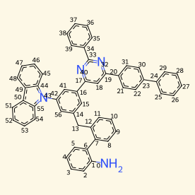 Nc1ccccc1-c1ccccc1Cc1cc(-c2cc(-c3ccc(-c4ccccc4)cc3)nc(-c3ccccc3)n2)cc(-n2c3ccccc3c3ccccc32)c1